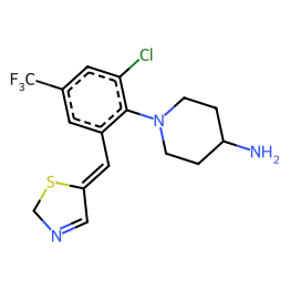 NC1CCN(c2c(Cl)cc(C(F)(F)F)cc2C=C2C=NCS2)CC1